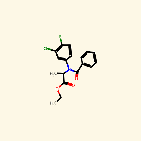 CCOC(=O)C(C)N(C(=O)c1ccccc1)c1ccc(F)c(Cl)c1